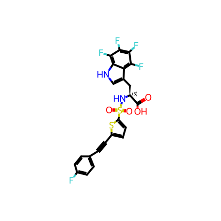 O=C(O)[C@H](Cc1c[nH]c2c(F)c(F)c(F)c(F)c12)NS(=O)(=O)c1ccc(C#Cc2ccc(F)cc2)s1